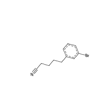 N#CCCCCc1cccc(Br)c1